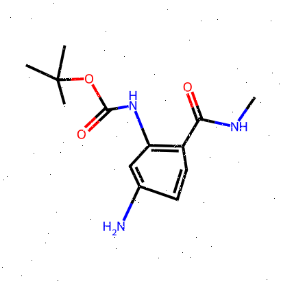 CNC(=O)c1ccc(N)cc1NC(=O)OC(C)(C)C